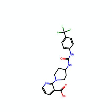 O=C(Nc1ccc(C(F)(F)F)cc1)NC1CCN(c2ncccc2C(=O)O)CC1